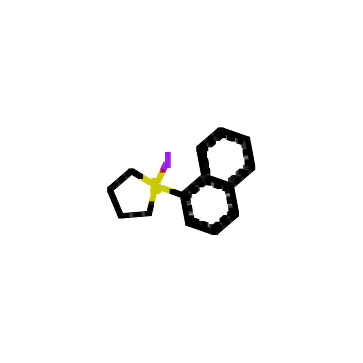 IS1(c2cccc3ccccc23)CCCC1